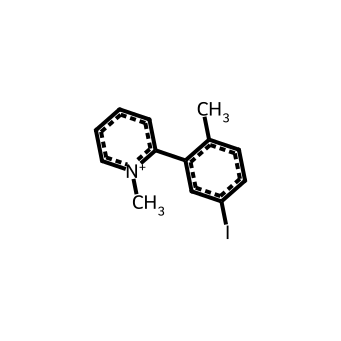 Cc1ccc(I)cc1-c1cccc[n+]1C